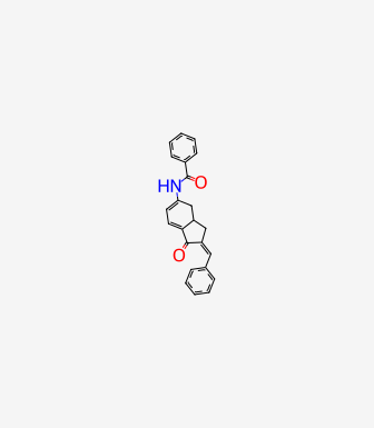 O=C1C(=Cc2ccccc2)CC2CC(NC(=O)c3ccccc3)=CC=C12